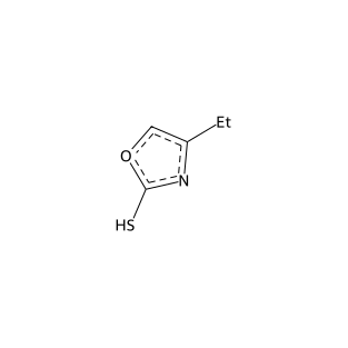 CCc1coc(S)n1